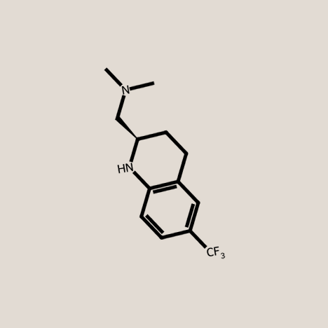 CN(C)C[C@H]1CCc2cc(C(F)(F)F)ccc2N1